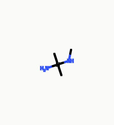 CN[Si](C)(C)N